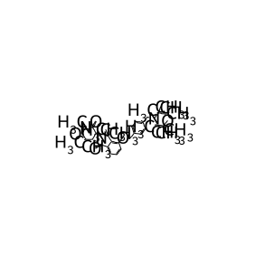 CN1C(=O)C(C)(C)CC(C)(N2C(=O)c3cccc(OCc4ccc(CN5C(C)(C)C(C)(C)OC(C)(C)C5(C)C)cc4)c3C2(C)C)C1=O